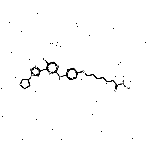 O=C(CCCCCCOc1ccc(Nc2ncc(F)c(-c3cn(C4CCCC4)nn3)n2)cc1)NO